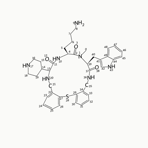 CN1C(=O)[C@H](CCCCN)NC(=O)C(C2CCNCC2)NCc2ccccc2Sc2ccccc2CNC(=O)[C@@H]1Cc1c[nH]c2ccccc12